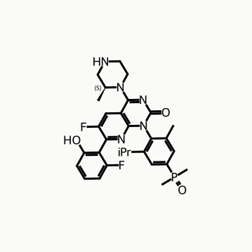 Cc1cc(P(C)(C)=O)cc(C(C)C)c1-n1c(=O)nc(N2CCNC[C@@H]2C)c2cc(F)c(-c3c(O)cccc3F)nc21